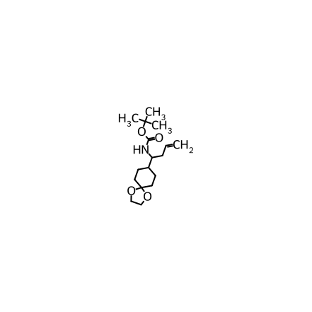 C=CCC(NC(=O)OC(C)(C)C)C1CCC2(CC1)OCCO2